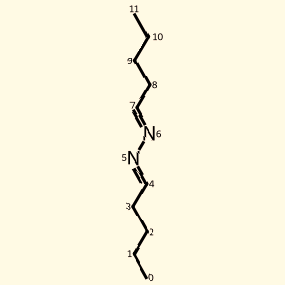 CCCCC=NN=CCCCC